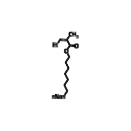 CCC=C(C)C(=O)OCCCCCCCCCCCCCCCC